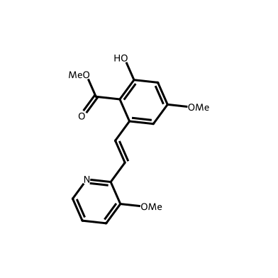 COC(=O)c1c(O)cc(OC)cc1C=Cc1ncccc1OC